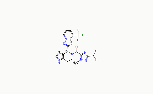 Cn1nc(C(F)F)nc1C(=O)N1CCc2[nH]cnc2[C@@H]1c1cc2c(C(F)(F)F)cccn2n1